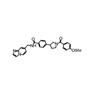 COc1ccc(C(=O)N2CCC(c3ccc(C(=O)NCc4ccn5ccnc5c4)cc3)C2)cc1